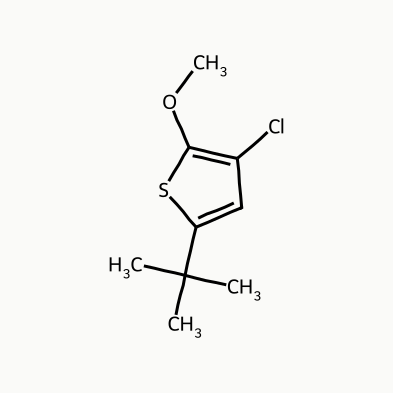 COc1sc(C(C)(C)C)cc1Cl